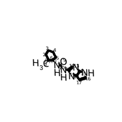 C[C@@H]1CCCC[C@H]1NC(=O)Nc1cnc2[nH]ccc2n1